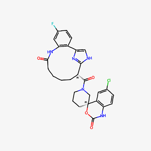 O=C1CCCC[C@@H](C(=O)N2CCC[C@@]3(C2)OC(=O)Nc2ccc(Cl)cc23)c2nc(c[nH]2)-c2ccc(F)cc2N1